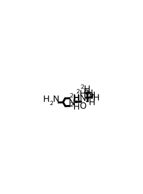 [2H]C([2H])(C(=O)NC(C)(C([2H])([2H])[2H])C([2H])([2H])[2H])N1CCC(CN)CC1